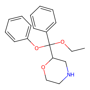 CCOC(Oc1ccccc1)(c1ccccc1)C1CNCCO1